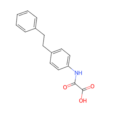 O=C(O)C(=O)Nc1ccc(CCc2ccccc2)cc1